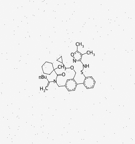 C=C(CCCC)N(Cc1ccc(-c2ccccc2SNc2noc(C)c2C)c(COCC2CC2)c1)C(=O)C1(C)CCCCC1